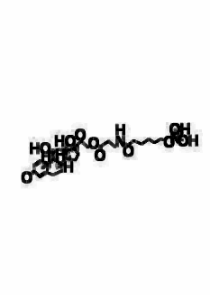 C[C@]12C=CC(=O)C=C1CC[C@@H]1[C@@H]2[C@@H](O)C[C@@]2(C)[C@H]1CC[C@]2(O)C(=O)COC(=O)CCNC(=O)CCCCCON(O)O